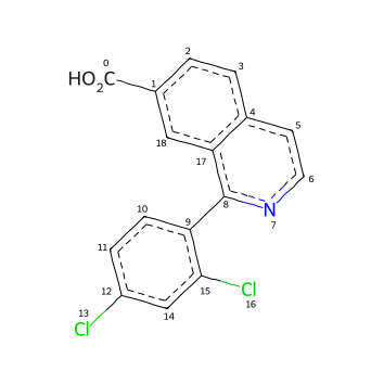 O=C(O)c1ccc2ccnc(-c3ccc(Cl)cc3Cl)c2c1